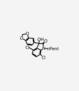 CCCCCN1C(=O)C(O)(c2ccc3c(c2)OCO3)c2c(Cl)ccc(Cl)c21